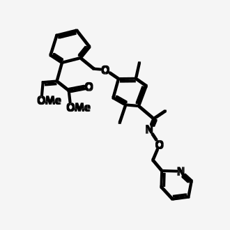 COC=C(C(=O)OC)c1ccccc1COc1cc(C)c(C(C)=NOCc2ccccn2)cc1C